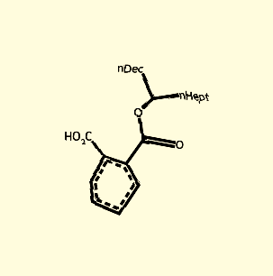 CCCCCCCCCCC(CCCCCCC)OC(=O)c1ccccc1C(=O)O